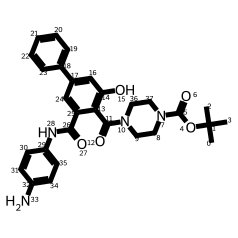 CC(C)(C)OC(=O)N1CCN(C(=O)c2c(O)cc(-c3ccccc3)cc2C(=O)Nc2ccc(N)cc2)CC1